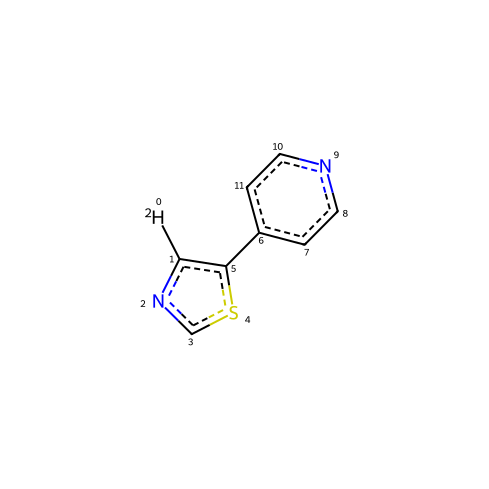 [2H]c1ncsc1-c1ccncc1